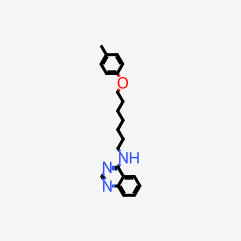 Cc1ccc(OCCCCCCCNc2ncnc3ccccc23)cc1